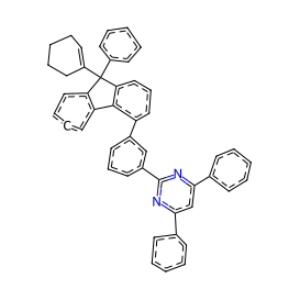 C1=C(C2(c3ccccc3)c3ccccc3-c3c(-c4cccc(-c5nc(-c6ccccc6)cc(-c6ccccc6)n5)c4)cccc32)CCCC1